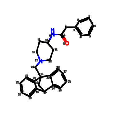 O=C(Cc1ccccc1)NC1CCN(CC23CC(c4ccccc42)c2ccccc23)CC1